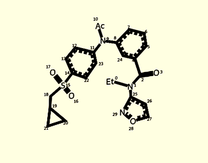 CCN(C(=O)c1cccc(N(C(C)=O)c2ccc(S(=O)(=O)CC3CC3)cc2)c1)c1ccon1